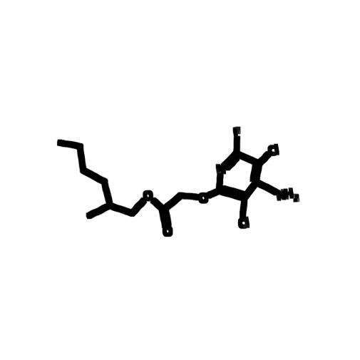 CCCCC(C)COC(=O)COc1nc(F)c(Cl)c(N)c1Cl